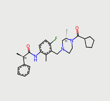 Cc1c(NC(=O)[C@H](C)c2ccccc2)ccc(F)c1CN1CCN(C(=O)C2CCCC2)[C@@H](C)C1